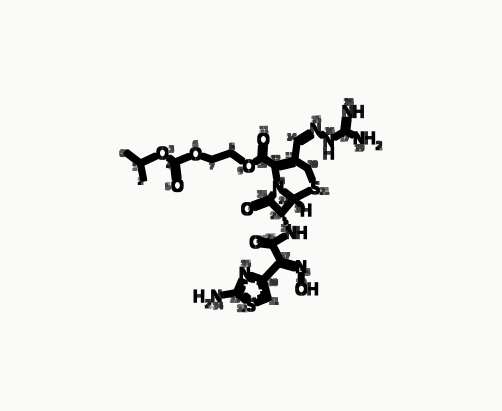 CC(C)OC(=O)OCCOC(=O)C1=C(/C=N\NC(=N)N)CS[C@@H]2[C@H](NC(=O)C(=NO)c3csc(N)n3)C(=O)N12